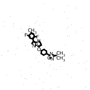 Cc1cc(F)c(-c2cnn3c(OC4CCC(c5nc(C(C)C)no5)CC4)ccnc23)cc1F